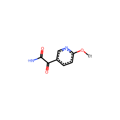 CCOc1ccc(C(=O)C([NH])=O)cn1